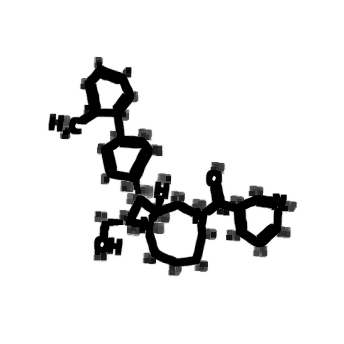 Cc1ccccc1-c1ccc([C@H]2[C@@H](CO)N3CCCCN(C(=O)c4cccnc4)C[C@@H]23)cc1